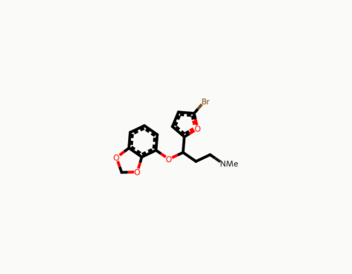 CNCCC(Oc1cccc2c1OCO2)c1ccc(Br)o1